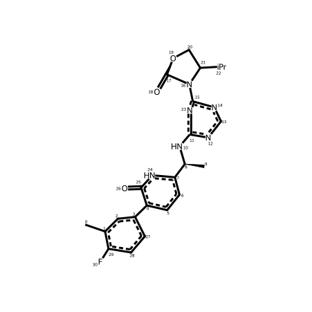 Cc1cc(-c2ccc([C@H](C)Nc3ncnc(N4C(=O)OCC4C(C)C)n3)[nH]c2=O)ccc1F